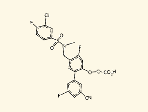 CN(Cc1cc(-c2cc(F)cc(C#N)c2)c(OCC(=O)O)cc1F)S(=O)(=O)c1ccc(F)c(Cl)c1